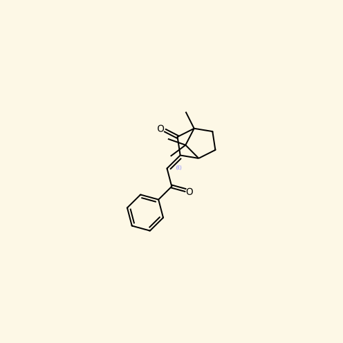 CC12CCC(/C(=C\C(=O)c3ccccc3)C1=O)C2(C)C